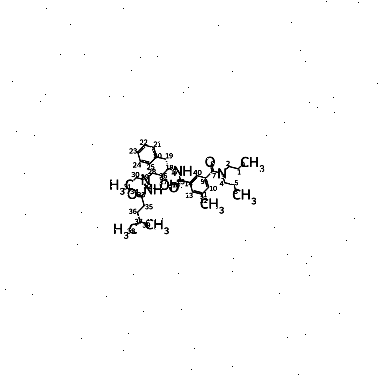 CCCN(CCC)C(=O)c1cc(C)cc(C(=O)N[C@@H](Cc2ccccc2)[C@@H](O)CN(CC)NC(=O)CCC(C)C)c1